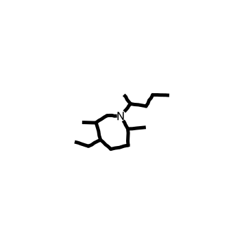 CCCC(C)N1CC(C)C(CC)CCC1C